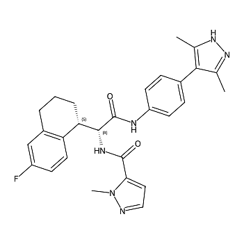 Cc1n[nH]c(C)c1-c1ccc(NC(=O)[C@H](NC(=O)c2ccnn2C)[C@H]2CCCc3cc(F)ccc32)cc1